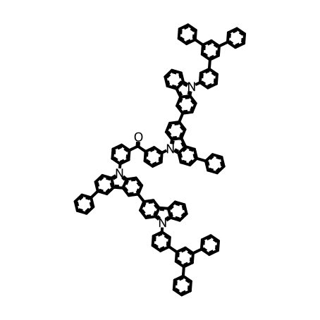 O=C(c1cccc(-n2c3ccc(-c4ccccc4)cc3c3cc(-c4ccc5c(c4)c4ccccc4n5-c4cccc(-c5cc(-c6ccccc6)cc(-c6ccccc6)c5)c4)ccc32)c1)c1cccc(-n2c3ccc(-c4ccccc4)cc3c3cc(-c4ccc5c(c4)c4ccccc4n5-c4cccc(-c5cc(-c6ccccc6)cc(-c6ccccc6)c5)c4)ccc32)c1